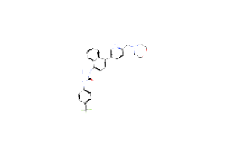 O=C(Nc1ccc(C(F)(F)F)cc1)Nc1ccc(-c2ccc(CN3CCOCC3)nc2)c2ccccc12